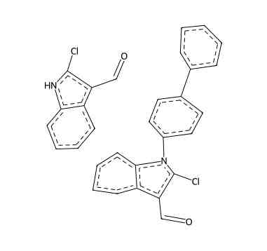 O=Cc1c(Cl)[nH]c2ccccc12.O=Cc1c(Cl)n(-c2ccc(-c3ccccc3)cc2)c2ccccc12